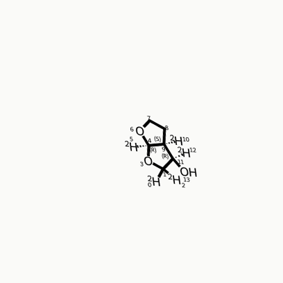 [2H]C1([2H])O[C@@]2([2H])OCC[C@@]2([2H])[C@@]1([2H])O